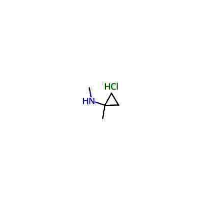 CNC1(C)CC1.Cl